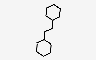 [CH]1CCC(CCC2CC[CH]CC2)CC1